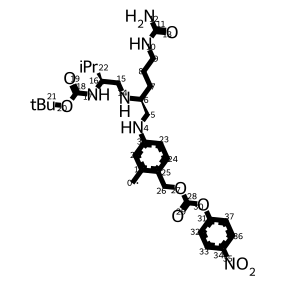 [CH2]c1cc(NC[C@H](CCCNC(N)=O)NC[C@@H](NC(=O)OC(C)(C)C)C(C)C)ccc1COC(=O)Oc1ccc([N+](=O)[O-])cc1